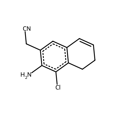 N#CCc1cc2c(c(Cl)c1N)CCC=C2